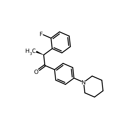 C[C@H](C(=O)c1ccc(N2CCCCC2)cc1)c1ccccc1F